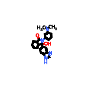 CN(C)c1cccc(N2C(=O)c3ccccc3C2(O)c2ccc3[nH][c]nc3c2)c1